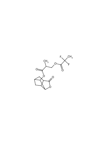 CC(COC(=O)C(C)(F)F)C(=O)OC1C2CC3C(=O)OC1C3C2